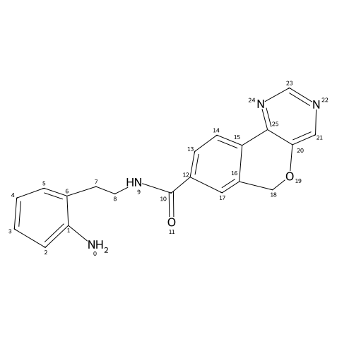 Nc1ccccc1CCNC(=O)c1ccc2c(c1)COc1cncnc1-2